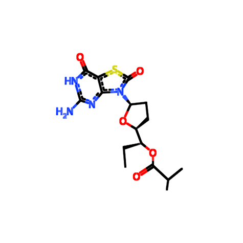 CC[C@H](OC(=O)C(C)C)[C@@H]1CC[C@H](n2c(=O)sc3c(=O)[nH]c(N)nc32)O1